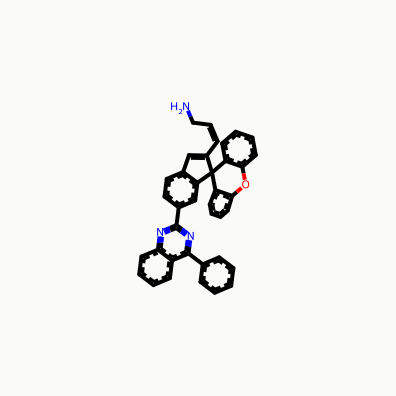 NC/C=C\C1=Cc2ccc(-c3nc(-c4ccccc4)c4ccccc4n3)cc2C12c1ccccc1Oc1ccccc12